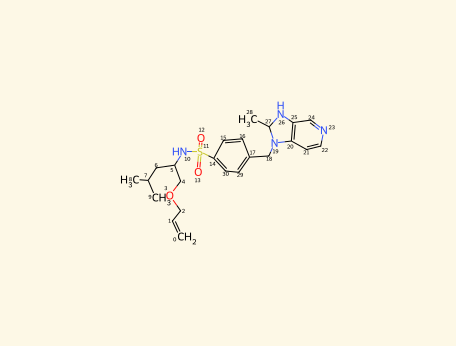 C=CCOCC(CC(C)C)NS(=O)(=O)c1ccc(CN2c3ccncc3NC2C)cc1